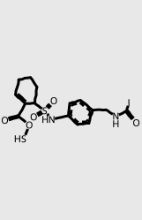 O=C(I)NCc1ccc(NS(=O)(=O)C2CCCC=C2C(=O)OS)cc1